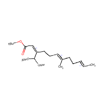 C/C=C/CC/C(C)=C/CC/C(=C/C(=O)OC(C)(C)C)C(OC)OC